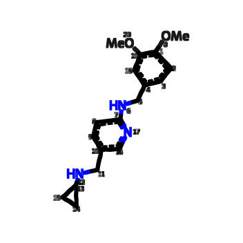 COc1ccc(CNc2ccc(CNC3CC3)cn2)cc1OC